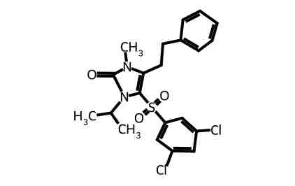 CC(C)n1c(S(=O)(=O)c2cc(Cl)cc(Cl)c2)c(CCc2ccccc2)n(C)c1=O